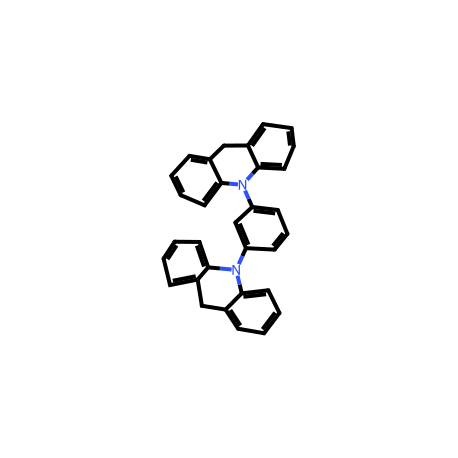 c1cc(N2c3ccccc3Cc3ccccc32)cc(N2c3ccccc3Cc3ccccc32)c1